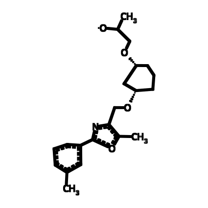 Cc1cccc(-c2nc(CO[C@H]3CCC[C@@H](OCC(C)[O])C3)c(C)o2)c1